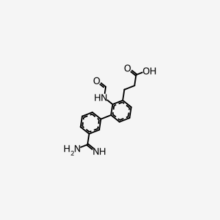 N=C(N)c1cccc(-c2cccc(CCC(=O)O)c2NC=O)c1